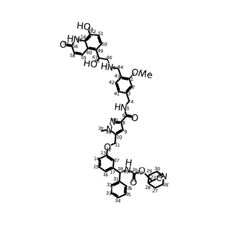 COc1cc(CNC(=O)c2cc(COc3cccc([C@@H](NC(=O)OC4CN5CCC4CC5)c4ccccc4)c3)n(C)n2)ccc1CNCC(O)c1ccc(O)c2[nH]c(=O)ccc12